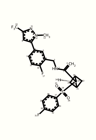 C=C(NCc1cc(-c2cc(C(F)(F)F)nn2C)ccc1F)[C@@H]1C2CC(C2)N1S(=O)(=O)c1ccc(F)cc1